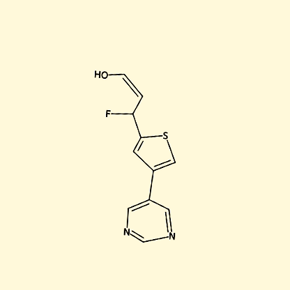 O/C=C\C(F)c1cc(-c2cncnc2)cs1